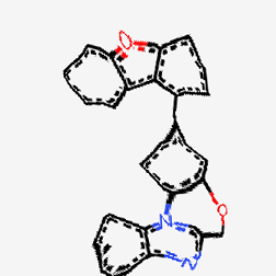 c1ccc2c(c1)nc1n2-c2ccc(-c3cccc4oc5ccccc5c34)cc2OC1